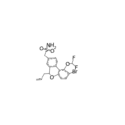 C=CCC1Oc2ccc(Br)c(OC(F)F)c2-c2ccc(CS(N)(=O)=O)cc21